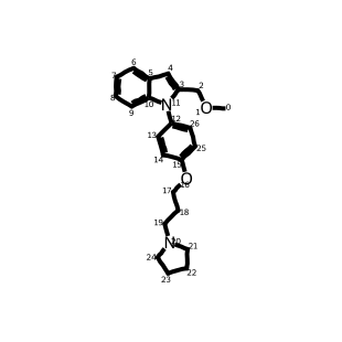 COCc1cc2ccccc2n1-c1ccc(OCCCN2CCCC2)cc1